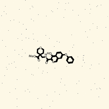 COC(=O)C1(CNC(=O)c2ncc3cc(Oc4ccccc4)ccc3c2O)CCOCC1